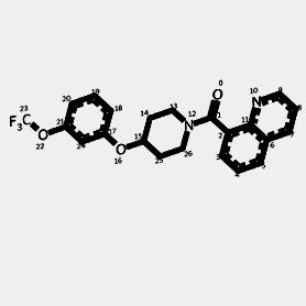 O=C(c1cccc2cccnc12)N1CCC(Oc2cccc(OC(F)(F)F)c2)CC1